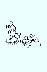 [3H]OC1[C@@H](CO[Si](C)(C)C(C)(C)C)O[C@@H](n2ccc(=O)[nH]c2=O)[C@H]1OC